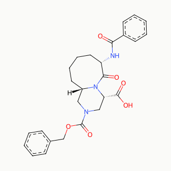 O=C(N[C@H]1CCCC[C@H]2CN(C(=O)OCc3ccccc3)C[C@@H](C(=O)O)N2C1=O)c1ccccc1